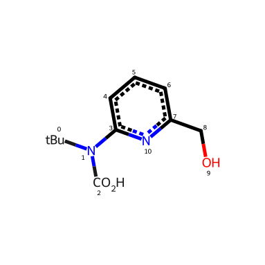 CC(C)(C)N(C(=O)O)c1cccc(CO)n1